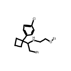 CCOCCNC(CC(C)C)C1(c2ccc(Cl)cc2)CCC1